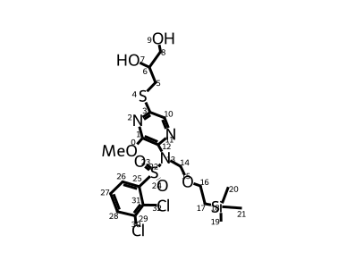 COc1nc(SCC(O)CO)cnc1N(COCC[Si](C)(C)C)S(=O)(=O)c1cccc(Cl)c1Cl